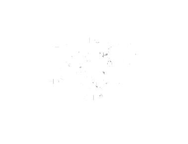 Cc1ccc(-c2cc(C)n(S(=O)(=O)c3ccccc3)c2C(=O)c2c(-c3ccc(C)cc3)cc(C)n2S(=O)(=O)c2ccccc2)cc1